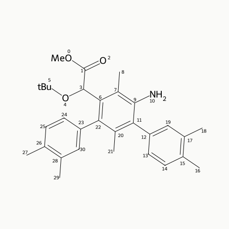 COC(=O)C(OC(C)(C)C)c1c(C)c(N)c(-c2ccc(C)c(C)c2)c(C)c1-c1ccc(C)c(C)c1